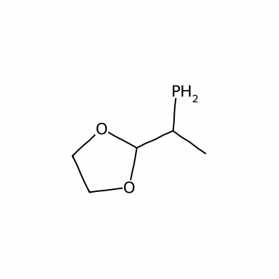 CC(P)C1OCCO1